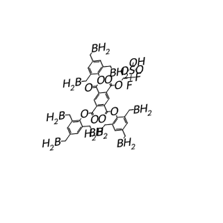 BCc1cc(CB)c(OC(=O)c2cc(C(=O)Oc3c(CB)cc(CB)cc3CB)c(C(=O)Oc3c(CB)cc(CB)cc3CB)cc2C(=O)OCC(F)(F)S(=O)(=O)O)c(CB)c1